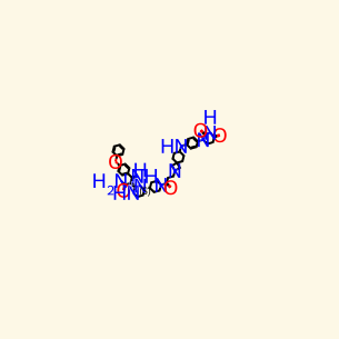 N=C(/C(C(N)=O)=C1/NCC[C@@H](C2CCN(C(=O)CCN3CC4(CCC(Nc5ccc(N6CCC(=O)NC6=O)cc5)CC4)C3)CC2)N1)c1ccc(Oc2ccccc2)cc1